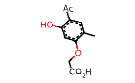 CC(=O)c1cc(C)c(OCC(=O)O)cc1O